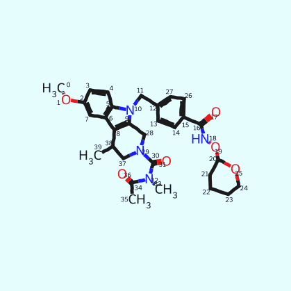 COc1ccc2c(c1)c1c(n2Cc2ccc(C(=O)NOC3CCCCO3)cc2)CN(C(=O)N(C)C(C)=O)CC1C